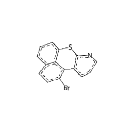 Brc1ccc2cccc3c2c1-c1cccnc1S3